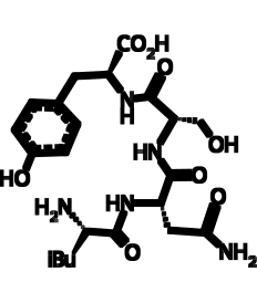 CC[C@H](C)[C@H](N)C(=O)N[C@@H](CC(N)=O)C(=O)N[C@@H](CO)C(=O)N[C@@H](Cc1ccc(O)cc1)C(=O)O